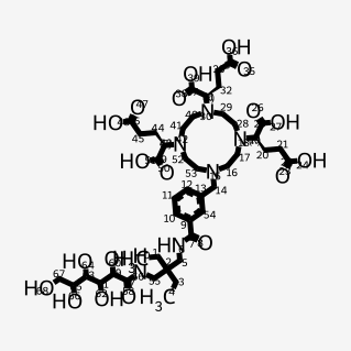 CCC(CC)(CNC(=O)c1cccc(CN2CCN([C@H](CCC(=O)O)C(=O)O)CCN([C@H](CCC(=O)O)C(=O)O)CCN([C@H](CCC(=O)O)C(=O)O)CC2)c1)CNC(=O)C(O)C(O)C(O)C(O)CO